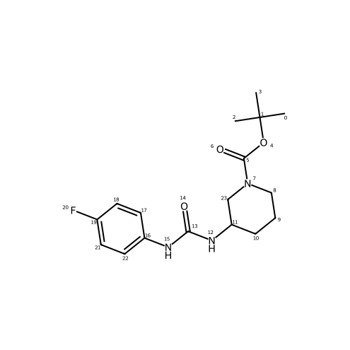 CC(C)(C)OC(=O)N1CCCC(NC(=O)Nc2ccc(F)cc2)C1